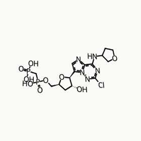 O=P(O)(O)CP(=O)(O)OC[C@@H]1C[C@@H](O)[C@H](c2cnc3c(NC4CCOC4)nc(Cl)nn23)O1